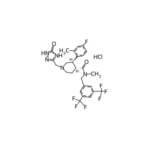 Cc1cc(F)ccc1[C@@H]1CN(Cc2n[nH]c(=O)[nH]2)CC[C@H]1C(=O)N(C)Cc1cc(C(F)(F)F)cc(C(F)(F)F)c1.Cl